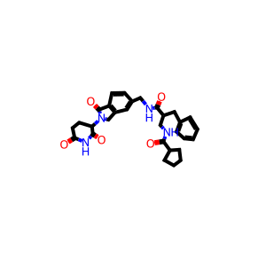 O=C1CCC(N2Cc3cc(CNC(=O)C(CNC(=O)C4CCCC4)Cc4ccccc4)ccc3C2=O)C(=O)N1